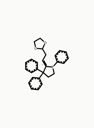 C(/CC1OCCO1)=C1/P(c2ccccc2)CCC1(c1ccccc1)c1ccccc1